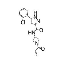 C=CC(=O)N1CC(NC(=O)c2cc(-c3ccccc3Cl)[nH]n2)C1